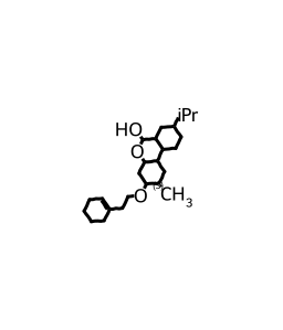 CC(C)C1CCC2C(C1)C(O)OC1CC(OCCC3=CCCCC3)[C@@H](C)CC12